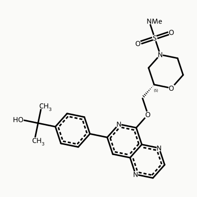 CNS(=O)(=O)N1CCO[C@H](COc2nc(-c3ccc(C(C)(C)O)cc3)cc3nccnc23)C1